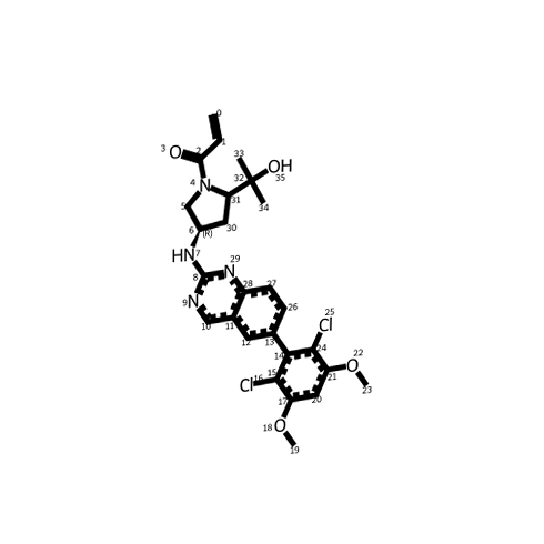 C=CC(=O)N1C[C@H](Nc2ncc3cc(-c4c(Cl)c(OC)cc(OC)c4Cl)ccc3n2)CC1C(C)(C)O